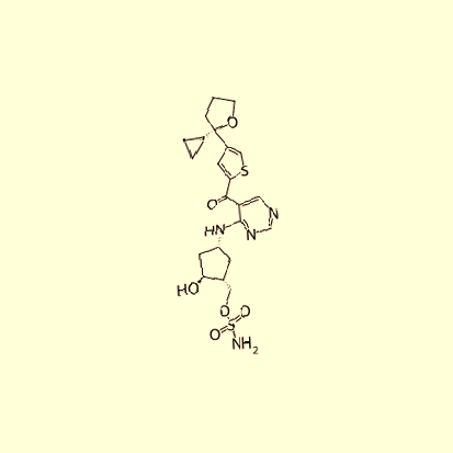 NS(=O)(=O)OC[C@H]1C[C@@H](Nc2ncncc2C(=O)c2cc([C@@]3(C4CC4)CCCO3)cs2)C[C@@H]1O